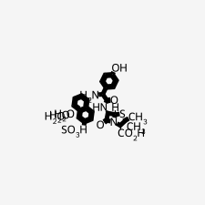 CC1(C)S[C@@H]2[C@H](NC(=O)C(N)c3ccc(O)cc3)C(=O)N2[C@H]1C(=O)O.O.O.O.O=S(=O)(O)c1ccc2ccccc2c1